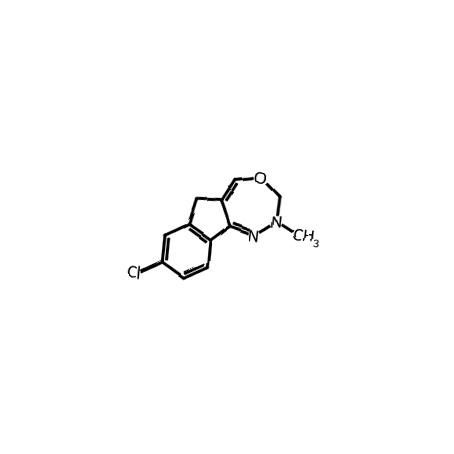 CN1COC=C2Cc3cc(Cl)ccc3C2=N1